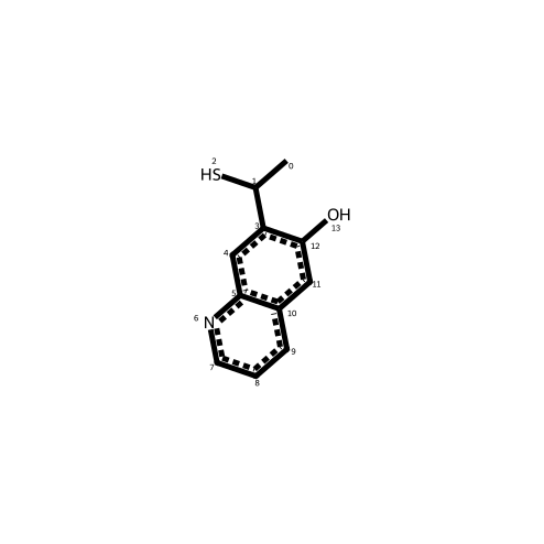 CC(S)c1cc2ncccc2cc1O